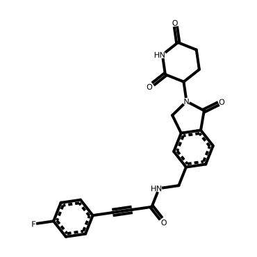 O=C(C#Cc1ccc(F)cc1)NCc1ccc2c(c1)CN(C1CCC(=O)NC1=O)C2=O